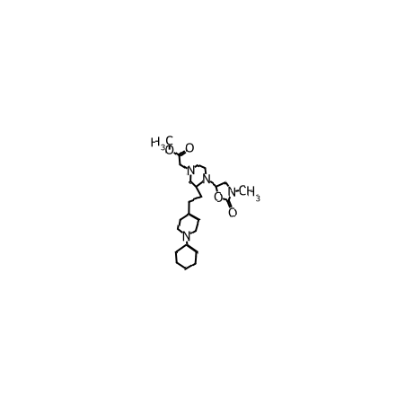 COC(=O)CN1CCN(C2CN(C)C(=O)O2)C(CCC2CCN(C3CCCCC3)CC2)C1